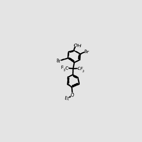 CCOc1ccc(C(c2cc(Br)c(O)cc2Br)(C(F)(F)F)C(F)(F)F)cc1